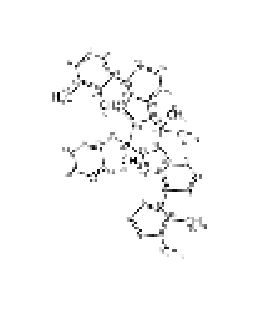 Cc1cccc(-c2cccc3c2C=C2[CH]3[Hf]([CH3])([CH3])[CH]3C(=Cc4c(-c5cccc(C)c5C)cccc43)C2(C)Cc2ccccc2)c1C